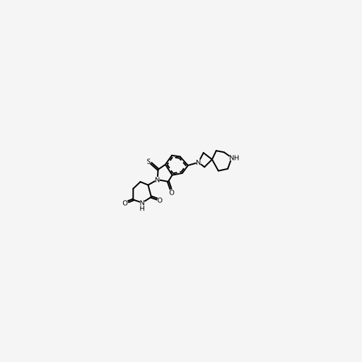 O=C1CCC(N2C(=O)c3cc(N4CC5(CCNCC5)C4)ccc3C2=S)C(=O)N1